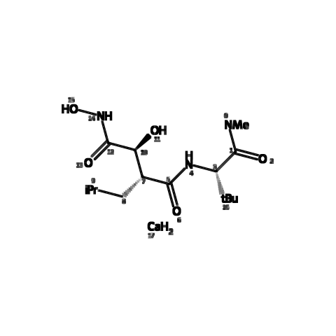 CNC(=O)[C@@H](NC(=O)[C@H](CC(C)C)[C@H](O)C(=O)NO)C(C)(C)C.[CaH2]